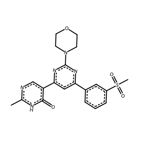 Cc1ncc(-c2cc(-c3cccc(S(C)(=O)=O)c3)nc(N3CCOCC3)n2)c(=O)[nH]1